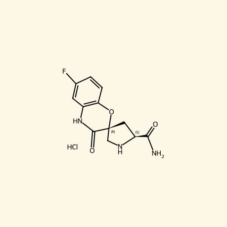 Cl.NC(=O)[C@@H]1C[C@]2(CN1)Oc1ccc(F)cc1NC2=O